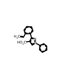 C=Cc1ccccc1-c1nn(-c2ccccc2)cc1C(=O)O